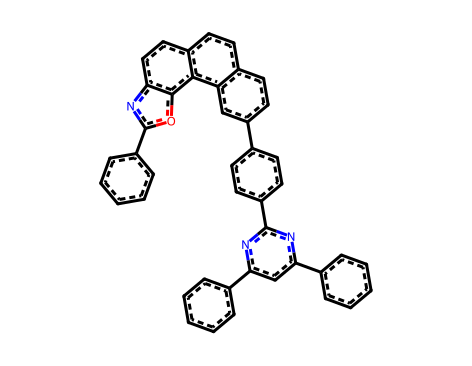 c1ccc(-c2cc(-c3ccccc3)nc(-c3ccc(-c4ccc5ccc6ccc7nc(-c8ccccc8)oc7c6c5c4)cc3)n2)cc1